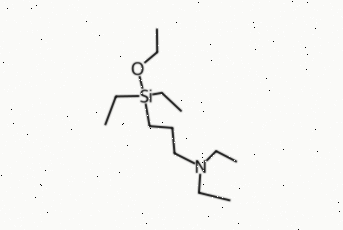 CCO[Si](CC)(CC)CCCN(CC)CC